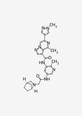 Cc1ncc(NC(=O)CN2C[C@@H]3CC[C@H]2C3)cc1NC(=O)c1cnn2cc(-c3cnn(C)c3)nc(C)c12